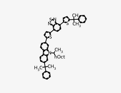 CCCCCCCCC(C)n1c2cc(-c3ccc(-c4ccc(-c5ccc(C(C)(C)c6ccccc6)s5)c5nsnc45)s3)ccc2c2ccc(C(C)(C)c3ccccc3)cc21